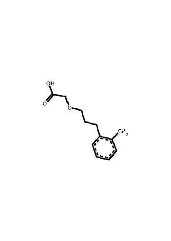 Cc1ccccc1CCCOCC(=O)O